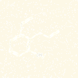 Bc1cccc(C=C)c1CC=C